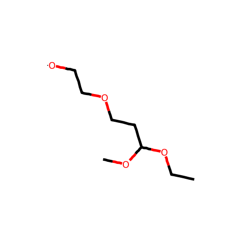 CCOC(CCOCC[O])OC